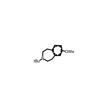 COc1ccc2c(c1)CCN(C(C)(C)C)CC2